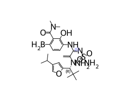 Bc1ccc(N/C(=N/S(N)(=O)=O)C(=C)N(N)[C@@H](c2cc(C(C)C)co2)C(C)(C)C)c(O)c1C(=O)N(C)C